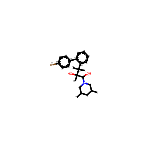 CC1CC(C)CN(C(O)C(C)(O)C(C)(C)c2ccccc2-c2ccc(Br)cc2)C1